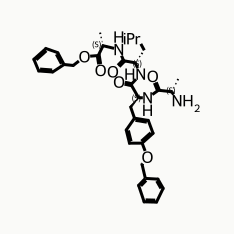 CC(C)C[C@H](NC(=O)[C@H](Cc1ccc(OCc2ccccc2)cc1)NC(=O)[C@H](C)N)C(=O)N[C@@H](C)C(=O)OCc1ccccc1